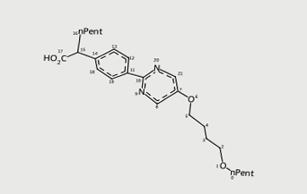 CCCCCOCCCCOc1cnc(-c2ccc(C(CCCCC)C(=O)O)cc2)nc1